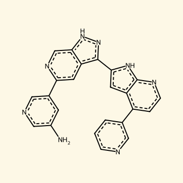 Nc1cncc(-c2cc3c(-c4cc5c(-c6cccnc6)ccnc5[nH]4)n[nH]c3cn2)c1